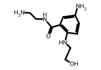 NCCNC(=O)c1cc(N)ccc1NCCO